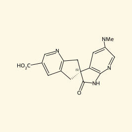 CNc1cnc2c(c1)[C@@]1(Cc3cc(C(=O)O)cnc3C1)C(=O)N2